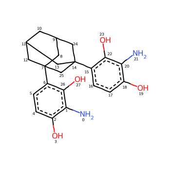 Nc1c(O)ccc(C23CC4CC(C2)CC(c2ccc(O)c(N)c2O)(C4)C3)c1O